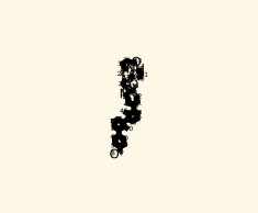 Cc1c(-c2ccc(C=O)cc2)cccc1-c1cccc(-c2ccn3nc(CN(C[C@@H]4CCC(=O)N4)C(=O)OC(C)(C)C)nc3c2)c1C